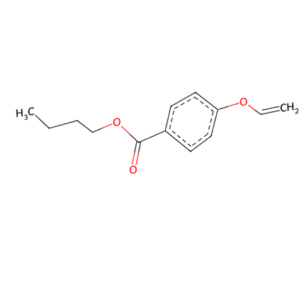 C=COc1ccc(C(=O)OCCCC)cc1